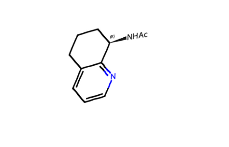 CC(=O)N[C@@H]1CCCc2cccnc21